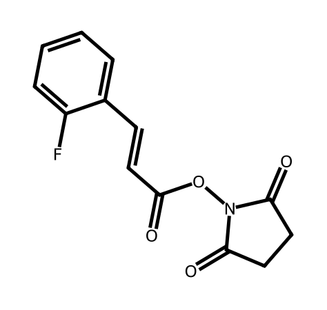 O=C(C=Cc1ccccc1F)ON1C(=O)CCC1=O